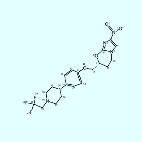 O=[N+]([O-])c1cn2c(n1)O[C@@H](COc1ccc(N3CCN(CC(F)(F)F)CC3)cc1)CC2